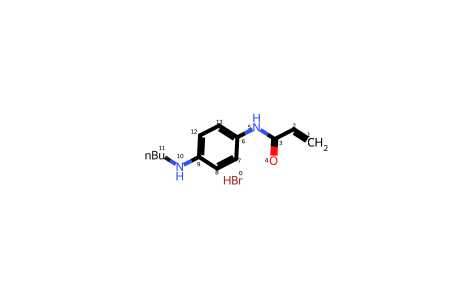 Br.C=CC(=O)Nc1ccc(NCCCC)cc1